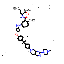 CNC(=O)C(CCC=O)N(C)C(=O)C1=CC(N[C@H]2C[C@@H](Oc3ccc(C(C)(C)c4ccc(N5CCc6cnc(N7CCN(C)CC7)nc6C5)cc4)cc3)C2)=CCC=C1C=O